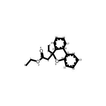 CCOC(=O)CC1(CC)Oc2ccccc2-c2ccccc21